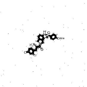 COc1ccc(S(=O)(=O)Nc2ccc3c(c2)CN(C(=O)[C@H](N)Cc2ccc(Cl)cc2Cl)C3)cc1